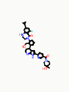 CC1(O)CCN(C(=O)c2ccc(-c3cc4c(-c5cccc(N6CCNc7cc(C8CC8)cc(F)c7C6=O)c5CO)ccnc4[nH]3)nc2)CC1